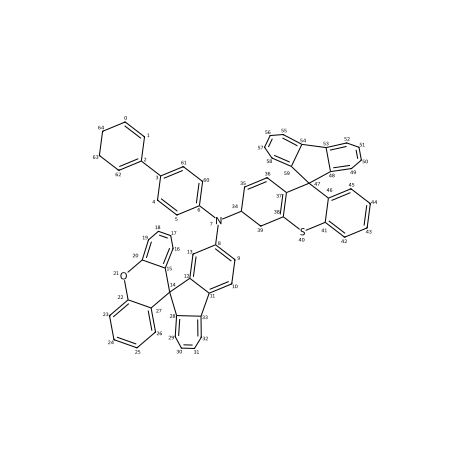 C1=CC(c2ccc(N(c3ccc4c(c3)C3(c5ccccc5Oc5ccccc53)c3ccccc3-4)C3C=CC4=C(C3)Sc3ccccc3C43c4ccccc4-c4ccccc43)cc2)=CCC1